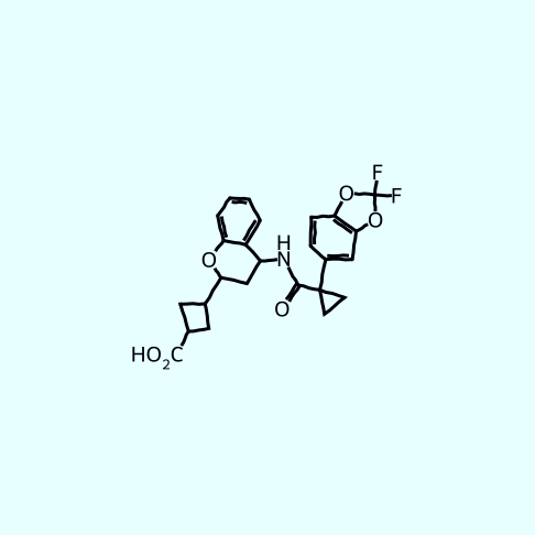 O=C(O)C1CC(C2CC(NC(=O)C3(c4ccc5c(c4)OC(F)(F)O5)CC3)c3ccccc3O2)C1